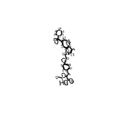 CCOC(Cc1ccc(OCCn2ccc3ncc(C(=O)C4CCCCC4)cc32)cc1)C(=O)O